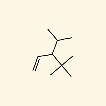 C=CC(C(C)C)C(C)(C)C